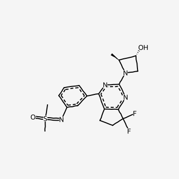 C[C@H]1[C@H](O)CN1c1nc(-c2cccc(N=S(C)(C)=O)c2)c2c(n1)C(F)(F)CC2